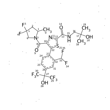 CC1CC(F)(F)CN1C(=O)c1nc(C(=O)NCC(C)(C)O)sc1-c1ccc(C(O)(C(F)(F)F)C(F)(F)F)cc1C(F)F